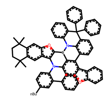 CCCCc1ccc(N2c3cc4oc5ccccc5c4c4c3B(c3oc5cc6c(cc5c32)C(C)(C)CCC6(C)C)N2c3ccccc3C(c3ccccc3)(c3ccccc3)c3cccc-4c32)c(-c2ccccc2)c1